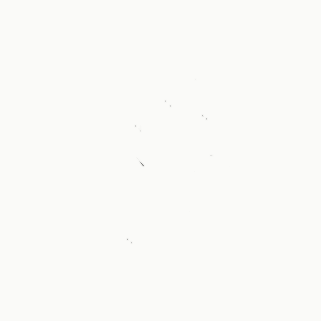 C[C@H]1COCCN1c1cc(C2(S(=O)(=O)c3ccc(C#N)cc3Cl)CC2)nc(Cl)n1